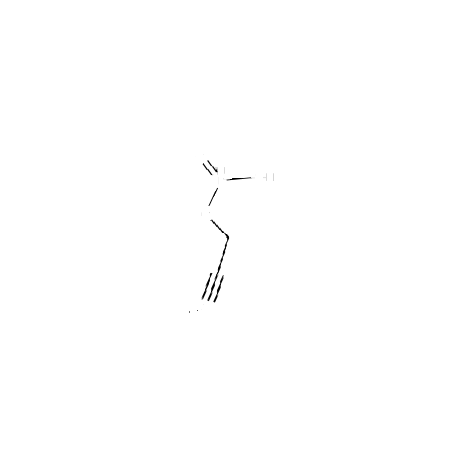 C#CCO[PH](=O)O